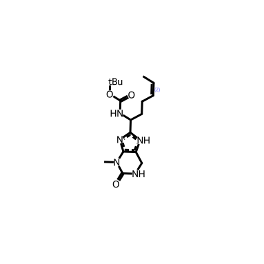 C/C=C\CCC(NC(=O)OC(C)(C)C)c1nc2c([nH]1)CNC(=O)N2C